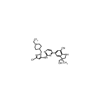 C[C@]1(CO)CNc2c(C#N)cc(-c3ccnc(Nc4cc(Cl)nn4CC4CCN(CC(F)(F)F)CC4)n3)cc21